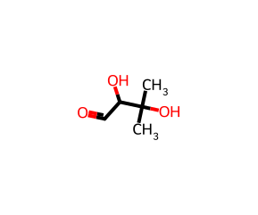 CC(C)(O)C(O)C=O